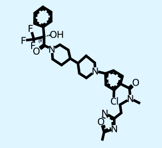 Cc1nc(CCN(C)C(=O)c2ccc(N3CCC(C4CCN(C(=O)[C@](O)(c5ccccc5)C(F)(F)F)CC4)CC3)cc2Cl)no1